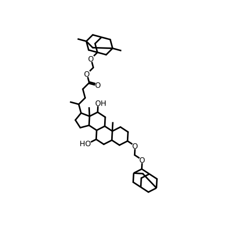 CC(CCC(=O)OCOC12CC3CC(C)(CC(C)(C3)C1)C2)C1CCC2C3C(O)CC4CC(OCOC5C6CC7CC(C6)CC5C7)CCC4(C)C3CC(O)C12C